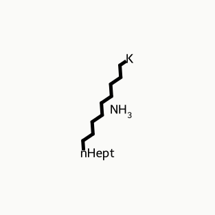 CCCCCCCCCCCCCCC[CH2][K].N